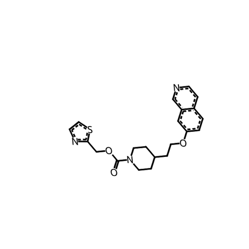 O=C(OCc1nccs1)N1CCC(CCOc2ccc3ccncc3c2)CC1